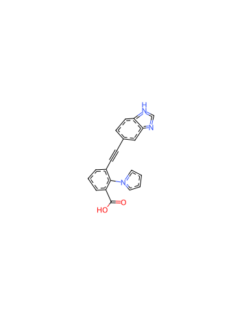 O=C(O)c1cccc(C#Cc2ccc3[nH]cnc3c2)c1-n1cccc1